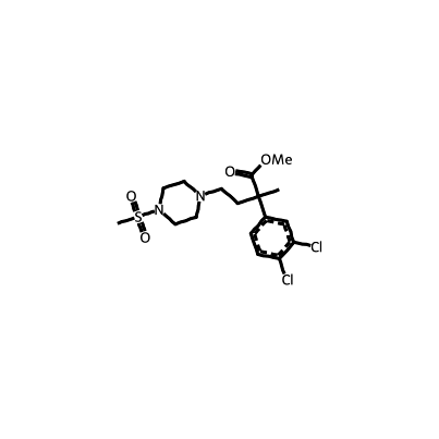 COC(=O)C(C)(CCN1CCN(S(C)(=O)=O)CC1)c1ccc(Cl)c(Cl)c1